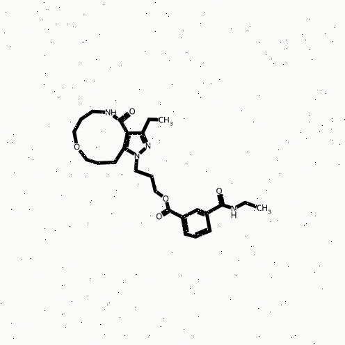 CCNC(=O)c1cccc(C(=O)OCCCn2nc(CC)c3c2CCCOCCCNC3=O)c1